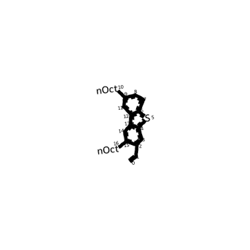 C=Cc1cc2sc3ccc(CCCCCCCC)cc3c2cc1CCCCCCCC